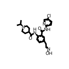 CC(C)N1CCC(C(=O)Nc2ccc(C/C=N/O)cc2C(=O)Nc2ccc(Cl)cn2)CC1